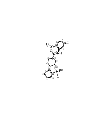 COc1ccc(Cl)cc1NC(=O)N1CCC(c2ccccc2C(F)(F)F)CC1